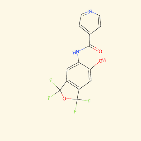 O=C(Nc1cc2c(cc1O)C(F)(F)OC2(F)F)c1ccncc1